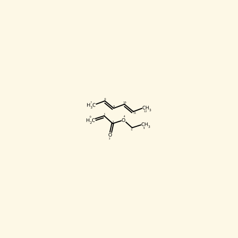 C=CC(=O)OCC.CC=CC=CC